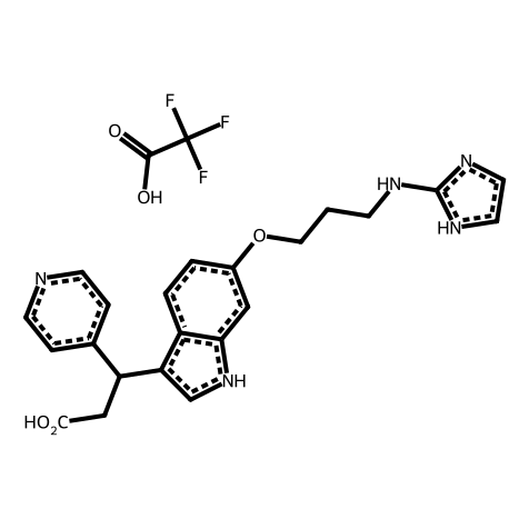 O=C(O)C(F)(F)F.O=C(O)CC(c1ccncc1)c1c[nH]c2cc(OCCCNc3ncc[nH]3)ccc12